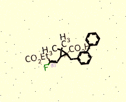 CCOC(=O)/C(F)=C\C1C(C)(C)[C@]1(Cc1cccc(-c2ccccc2)c1)C(=O)O